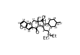 CCN(CC)CCCN1C(=O)c2cc3occc3n2CC1(C)C(=O)NC1CCC(C)CC1